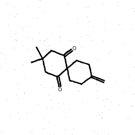 C=C1CCC2(CC1)C(=O)CC(C)(C)CC2=O